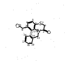 O=C1CSc2ccc(CCl)cc2N1Cc1ccccc1